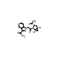 CC(=O)c1nn(CC(=O)N2[C@@H]3C[C@@H]3C[C@H]2C(=O)O)c2ccncc12